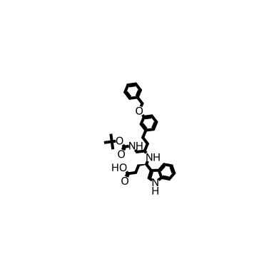 CC(C)(C)OC(=O)NCC(CCc1cccc(OCc2ccccc2)c1)N[C@H](CCC(=O)O)c1c[nH]c2ccccc12